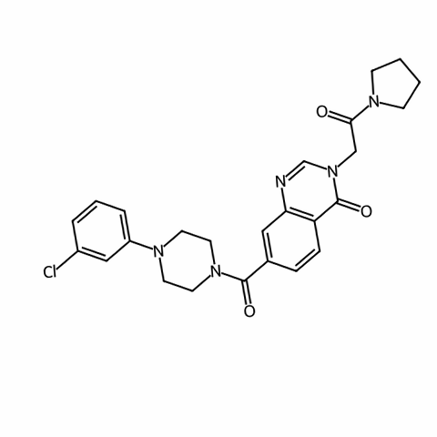 O=C(Cn1cnc2cc(C(=O)N3CCN(c4cccc(Cl)c4)CC3)ccc2c1=O)N1CCCC1